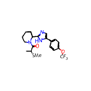 CSC(C)C(=O)N1CCCCC1c1ncc(-c2ccc(OC(F)(F)F)cc2)[nH]1